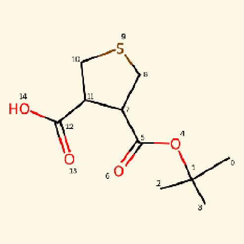 CC(C)(C)OC(=O)C1CSCC1C(=O)O